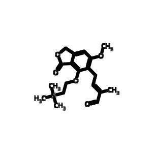 COc1cc2c(c(OCC[Si](C)(C)C)c1C/C=C(\C)C=O)C(=O)OC2